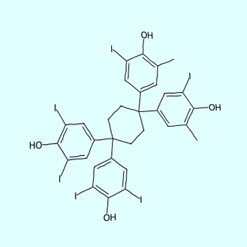 Cc1cc(C2(c3cc(C)c(O)c(I)c3)CCC(c3cc(I)c(O)c(I)c3)(c3cc(I)c(O)c(I)c3)CC2)cc(I)c1O